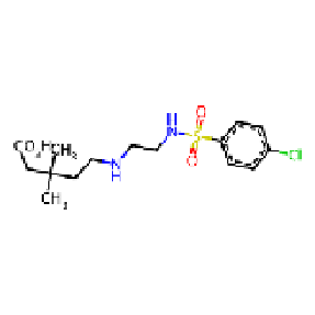 CC(C)(CCNCCNS(=O)(=O)c1ccc(Cl)cc1)CC(=O)O